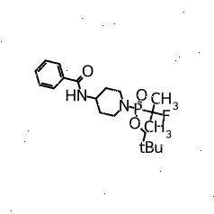 CC(C)(C)COP(=O)(N1CCC(NC(=O)c2ccccc2)CC1)C(C)(C)F